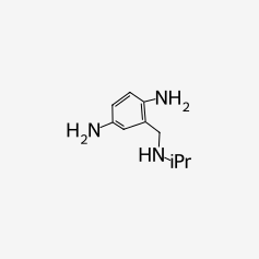 CC(C)NCc1cc(N)ccc1N